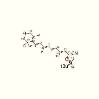 CC1=C(/C=C/C(C)=C/C=C/C(C)=C/C(C#N)O[Si](C)(C)C(C)(C)C)C(C)(C)CCC1